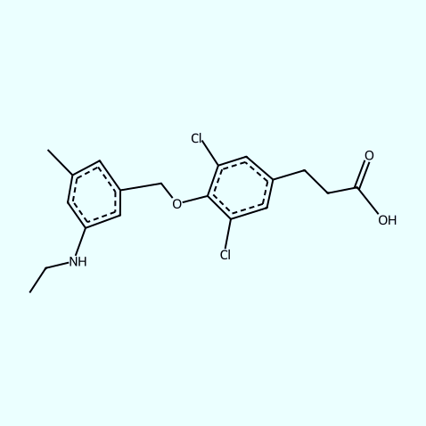 CCNc1cc(C)cc(COc2c(Cl)cc(CCC(=O)O)cc2Cl)c1